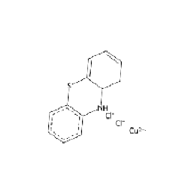 C1=CCC2Nc3ccccc3SC2=C1.[Cl-].[Cl-].[Cu+2]